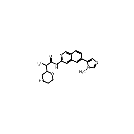 CC(C(=O)Nc1cc2cc(-c3cncn3C)ccc2cn1)C1CNCCO1